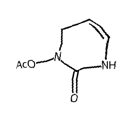 CC(=O)ON1CC=CNC1=O